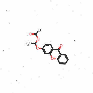 CCC(=O)OC(C)Oc1ccc(C(=O)c2ccccc2)c(O)c1